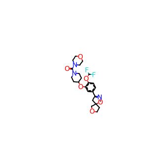 O=C(N1CCOCC1)N1CCC(Oc2cc(C3=NOC4(CCOC4)C3)ccc2OC(F)F)CC1